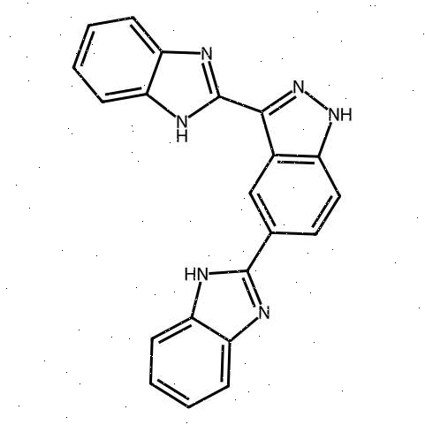 c1ccc2[nH]c(-c3ccc4[nH]nc(-c5nc6ccccc6[nH]5)c4c3)nc2c1